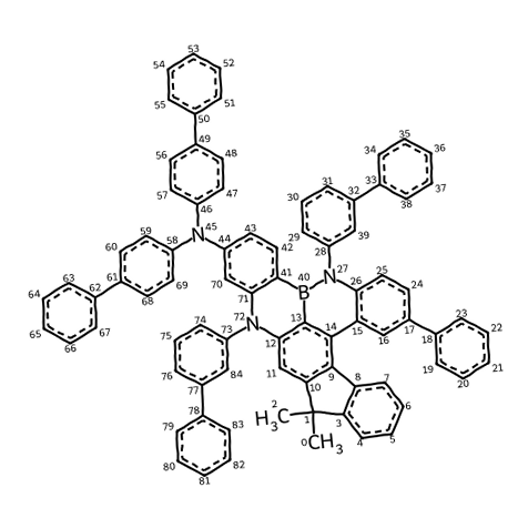 CC1(C)c2ccccc2-c2c1cc1c3c2-c2cc(-c4ccccc4)ccc2N(c2cccc(-c4ccccc4)c2)B3c2ccc(N(c3ccc(-c4ccccc4)cc3)c3ccc(-c4ccccc4)cc3)cc2N1c1cccc(-c2ccccc2)c1